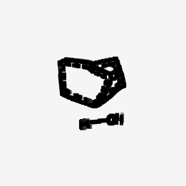 CCO.c1cc2ccc1o2